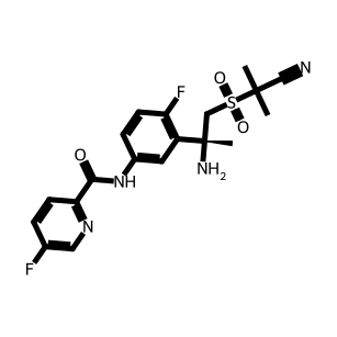 CC(C)(C#N)S(=O)(=O)C[C@](C)(N)c1cc(NC(=O)c2ccc(F)cn2)ccc1F